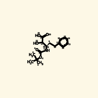 CC(C)(C)OC(=O)N[C@@H](CCc1ccccc1)C(O)C(=O)O